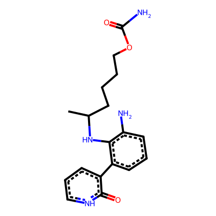 CC(CCCCOC(N)=O)Nc1c(N)cccc1-c1ccc[nH]c1=O